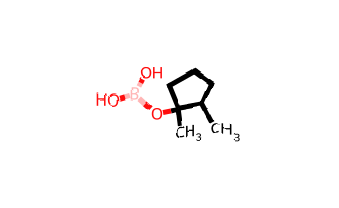 CC1CCCC1(C)OB(O)O